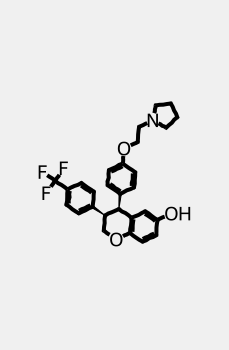 Oc1ccc2c(c1)[C@H](c1ccc(OCCN3CCCC3)cc1)[C@H](c1ccc(C(F)(F)F)cc1)CO2